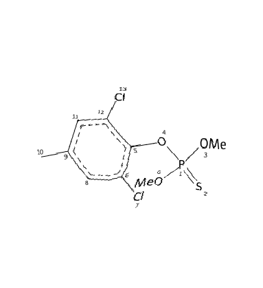 COP(=S)(OC)Oc1c(Cl)cc(C)cc1Cl